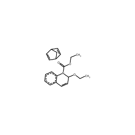 C1=CC2C=CC1C2.CCOC(=O)N1c2ccccc2C=CC1OCC